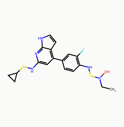 CCN(O)SNc1ccc(-c2cc(NSC3CC3)nc3[nH]ccc23)cc1F